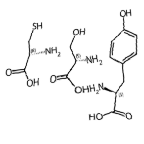 N[C@@H](CO)C(=O)O.N[C@@H](CS)C(=O)O.N[C@@H](Cc1ccc(O)cc1)C(=O)O